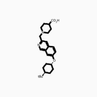 CC(C)(C)[C@H]1CC[C@H](Oc2ccc3cc(CN4CCC(C(=O)O)CC4)ncc3c2)CC1